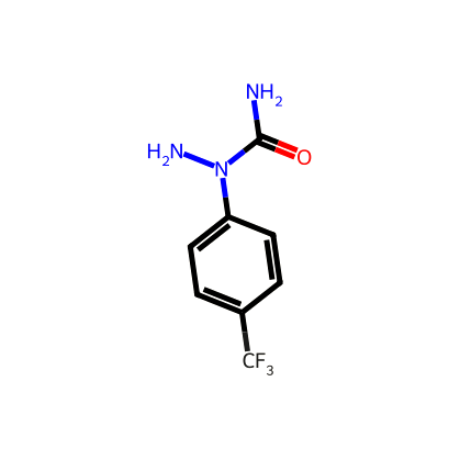 NC(=O)N(N)c1ccc(C(F)(F)F)cc1